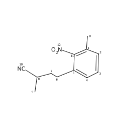 Cc1cccc(CCC(C)C#N)c1[N+](=O)[O-]